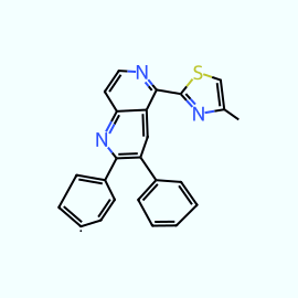 Cc1csc(-c2nccc3nc(-c4cc[c]cc4)c(-c4ccccc4)cc23)n1